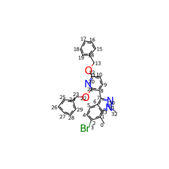 Cc1c(Br)ccc2c(-c3ccc(OCc4ccccc4)nc3OCc3ccccc3)nn(C)c12